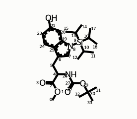 COC(=O)C(Cc1cn([Si](C(C)C)(C(C)C)C(C)C)c2cc(O)ccc12)NC(=O)OC(C)(C)C